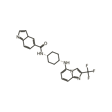 O=C(N[C@H]1CC[C@@H](Nc2cccc3nc(C(F)(F)F)cn23)CC1)C1=CC2C=CN=C2C=C1